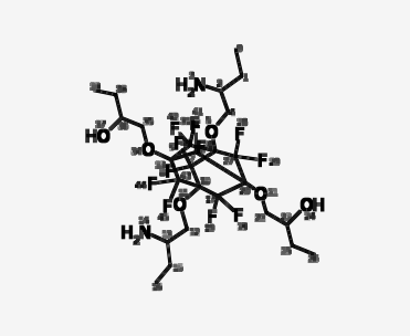 CCC(N)COC12C(F)(F)C3(OCC(N)CC)C(F)(F)C(OCC(O)CC)(C1(F)F)C(F)(F)C(OCC(O)CC)(C2(F)F)C3(F)F